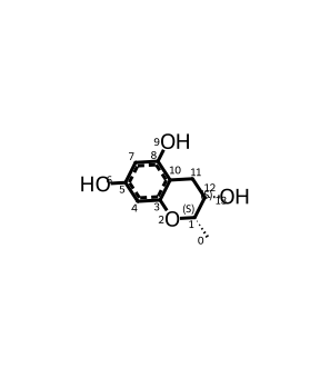 C[C@@H]1Oc2cc(O)cc(O)c2C[C@@H]1O